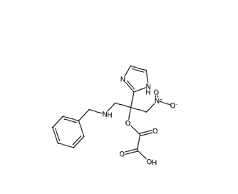 O=C(O)C(=O)OC(CNCc1ccccc1)(C[N+](=O)[O-])c1ncc[nH]1